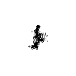 CC(C)C[C@H](NC(=O)[C@H](CCCCN)NC(=O)[C@@H](CO)NC(=O)OCc1ccccc1)C(=O)N[C@@H](CCC(N)=O)C(=O)Nc1ccc2c(CP(=O)(O)O)cc(=O)oc2c1